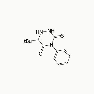 CC(C)(C)C1NNC(=S)N(c2ccccc2)C1=O